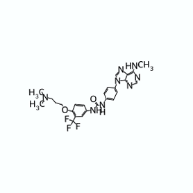 CNc1ncnc2c1ncn2-c1ccc(NC(=O)Nc2ccc(OCCCN(C)C)c(C(F)(F)F)c2)cc1